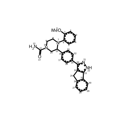 COc1ccccc1N1CCN(C(N)=O)CC1c1ccc(-c2n[nH]c3c2Cc2ccccc2-3)cc1